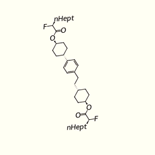 CCCCCCC[C@H](F)C(=O)O[C@H]1CC[C@H](CCc2ccc([C@H]3CC[C@H](OC(=O)[C@@H](F)CCCCCCC)CC3)cc2)CC1